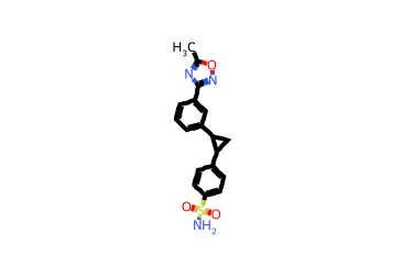 Cc1nc(-c2cccc(C3CC3c3ccc(S(N)(=O)=O)cc3)c2)no1